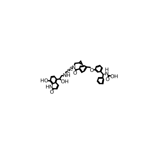 O=C(O)N[C@@H](c1ccccc1)c1cccc(OCc2ccc(C(=O)N(CCCNCC(O)c3ccc(O)c4[nH]c(=O)ccc34)CC3CC3)cc2)c1